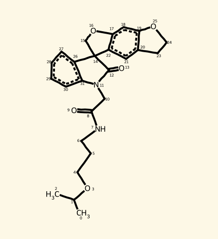 CC(C)OCCCNC(=O)CN1C(=O)C2(COc3cc4c(cc32)CCO4)c2ccccc21